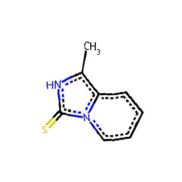 Cc1[nH]c(=S)n2ccccc12